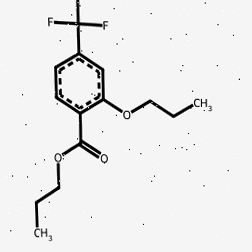 CCCOC(=O)c1ccc(C(F)(F)F)cc1OCCC